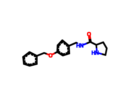 O=C(NCc1ccc(OCc2ccccc2)cc1)C1CCCN1